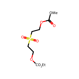 CCOC(=O)OCCS(=O)(=O)CCOC(=O)OC